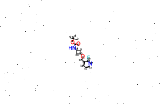 CC(C)(C)OC(=O)N[C@H]1C[C@H](OCc2cccnc2F)C1